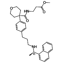 COC(=O)CCNC(=O)C1(c2ccc(CCCN[C@H](C)c3cccc4ccccc34)cc2)CCOCC1